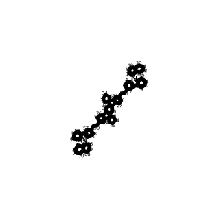 C(=C\c1ccc2c(c1)c1ccccc1n2-c1cccc2ccccc12)/c1ccc2c(c1)C1(CCCC1)c1cc3c(cc1-2)C1(CCCC1)c1cc(/C=C/c2ccc4c(c2)c2ccccc2n4-c2cccc4ccccc24)ccc1-3